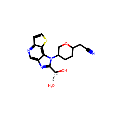 C[C@@H](O)c1nc2cnc3ccsc3c2n1C1CCC(CC#N)OC1.O